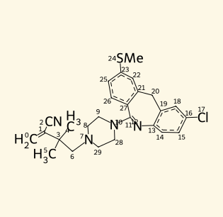 C=C(C#N)C(C)(C)CN1CCN(C2=Nc3ccc(Cl)cc3Cc3cc(SC)ccc32)CC1